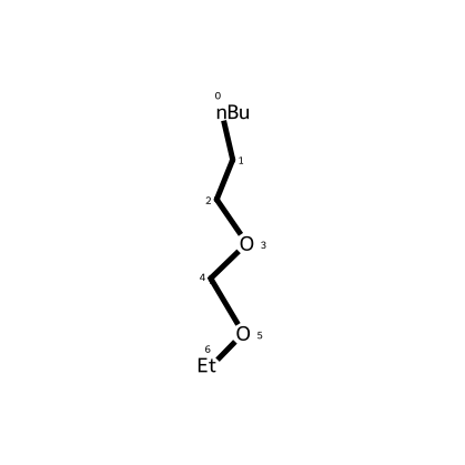 CCCCCCO[CH]OCC